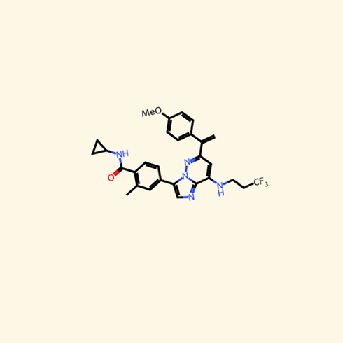 C=C(c1ccc(OC)cc1)c1cc(NCCC(F)(F)F)c2ncc(-c3ccc(C(=O)NC4CC4)c(C)c3)n2n1